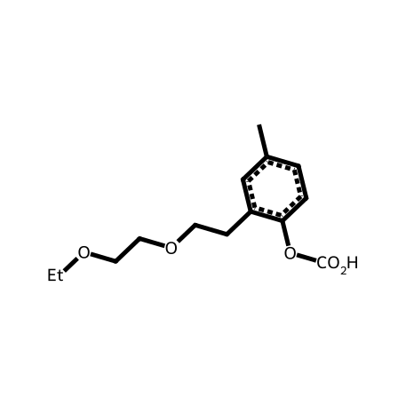 CCOCCOCCc1cc(C)ccc1OC(=O)O